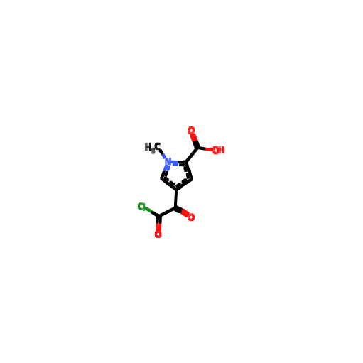 Cn1cc(C(=O)C(=O)Cl)cc1C(=O)O